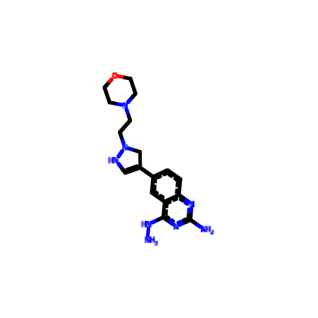 NNc1nc(N)nc2ccc(C3=CNN(CCN4CCOCC4)C3)cc12